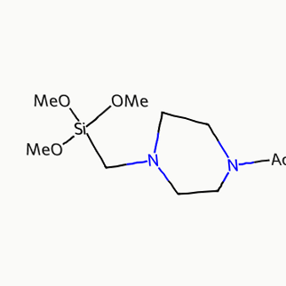 CO[Si](CN1CCN(C(C)=O)CC1)(OC)OC